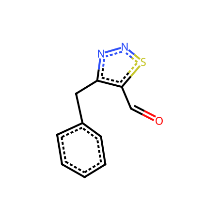 O=Cc1snnc1Cc1ccccc1